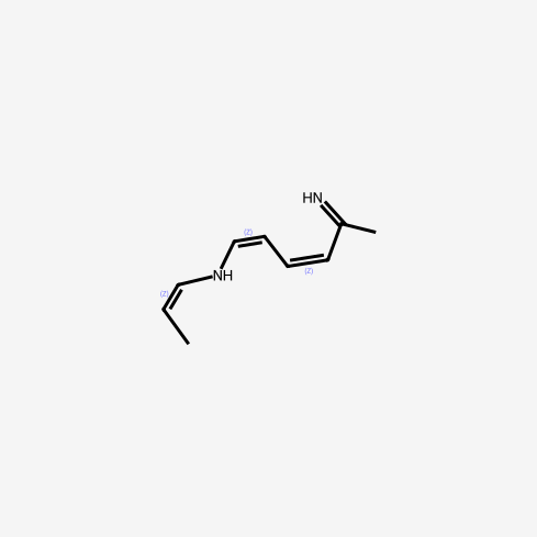 C/C=C\N/C=C\C=C/C(C)=N